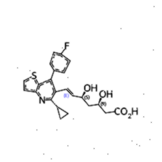 O=C(O)C[C@H](O)C[C@H](O)/C=C/c1c(C2CC2)nc2ccsc2c1-c1ccc(F)cc1